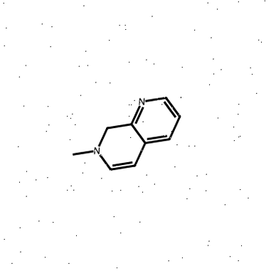 CN1C=Cc2cccnc2C1